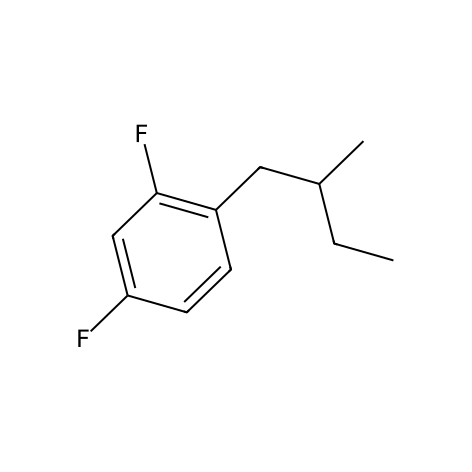 CCC(C)Cc1ccc(F)cc1F